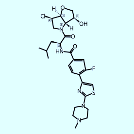 CC(C)C[C@H](NC(=O)c1ccc(-c2csc(N3CCN(C)CC3)n2)c(F)c1)C(=O)N1C[C@@H](Cl)[C@H]2OC[C@@H](O)[C@@H]21